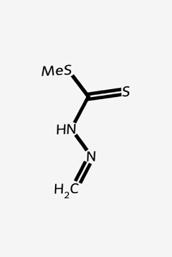 C=NNC(=S)SC